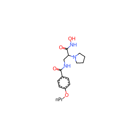 CCCOc1ccc(C(=O)NCC(C(=O)NO)N2CCCC2)cc1